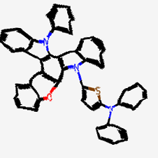 c1ccc(N(c2ccccc2)c2ccc(-n3c4ccccc4c4c3c3oc5ccccc5c3c3c5ccccc5n(-c5ccccc5)c34)s2)cc1